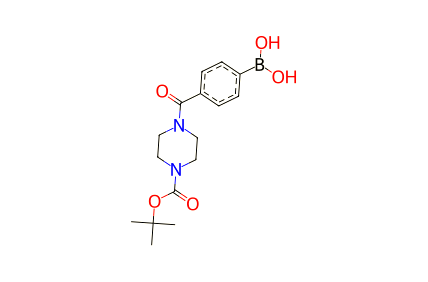 CC(C)(C)OC(=O)N1CCN(C(=O)c2ccc(B(O)O)cc2)CC1